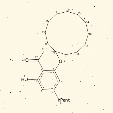 CCCCCc1cc(O)c2c(c1)OC1(CCCCCCCCCCC1)CC2=O